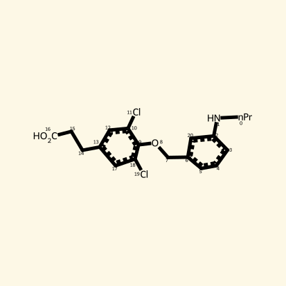 CCCNc1cccc(COc2c(Cl)cc(CCC(=O)O)cc2Cl)c1